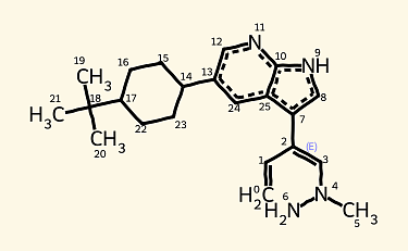 C=C/C(=C\N(C)N)c1c[nH]c2ncc(C3CCC(C(C)(C)C)CC3)cc12